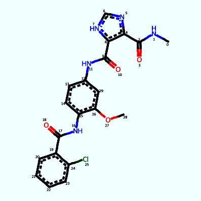 CNC(=O)c1nc[nH]c1C(=O)Nc1ccc(NC(=O)c2ccccc2Cl)c(OC)c1